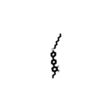 CCCCCCCCOc1ccc(-c2ccc(-c3ccc(CCC)c(F)c3F)cc2)cc1